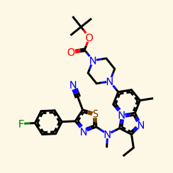 CCc1nc2c(C)cc(N3CCN(C(=O)OC(C)(C)C)CC3)cn2c1N(C)c1nc(-c2ccc(F)cc2)c(C#N)s1